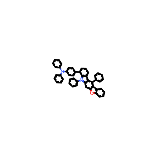 c1ccc(-c2c3c(cc4c2c2cccc(-c5ccc(N(c6ccccc6)c6ccccc6)cc5)c2n4-c2ccccc2)oc2ccccc23)cc1